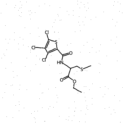 CCOC(=O)C(CSC)NC(=O)c1sc(Cl)c(Cl)c1Cl